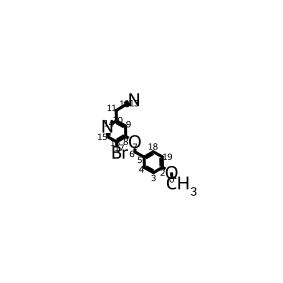 COc1ccc(COc2cc(CC#N)ncc2Br)cc1